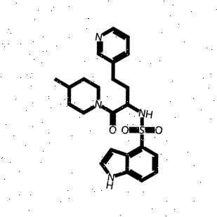 CC1CCN(C(=O)C(CCc2cccnc2)NS(=O)(=O)c2cccc3[nH]ccc23)CC1